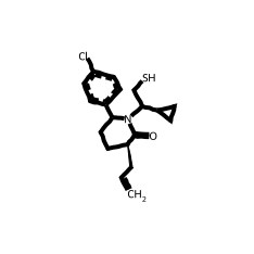 C=CC[C@H]1CCC(c2ccc(Cl)cc2)N(C(CS)C2CC2)C1=O